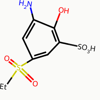 CCS(=O)(=O)c1cc(N)c(O)c(S(=O)(=O)O)c1